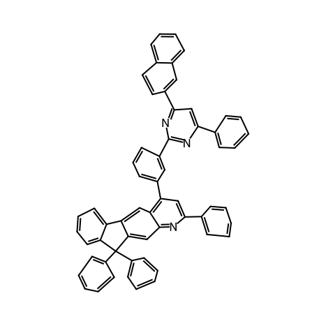 c1ccc(-c2cc(-c3ccc4ccccc4c3)nc(-c3cccc(-c4cc(-c5ccccc5)nc5cc6c(cc45)-c4ccccc4C6(c4ccccc4)c4ccccc4)c3)n2)cc1